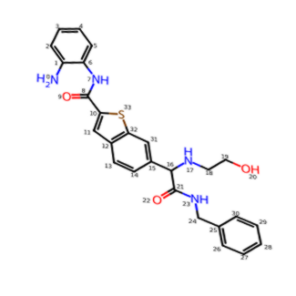 Nc1ccccc1NC(=O)c1cc2ccc(C(NCCO)C(=O)NCc3ccccc3)cc2s1